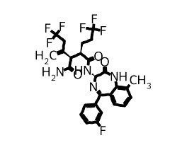 C=C(CC(F)(F)F)[C@H](C(N)=O)[C@@H](CCC(F)(F)F)C(=O)N[C@H]1N=C(c2cccc(F)c2)c2cccc(C)c2NC1=O